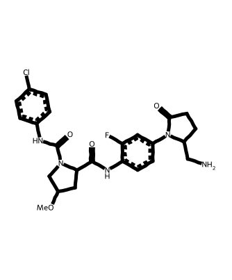 COC1CC(C(=O)Nc2ccc(N3C(=O)CCC3CN)cc2F)N(C(=O)Nc2ccc(Cl)cc2)C1